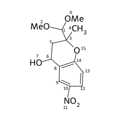 COC(OC)C1(C)CC(O)c2cc([N+](=O)[O-])ccc2O1